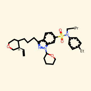 C=C[C@H]1COCCC1CCCc1nn(C2CCCCO2)c2cc(S(=O)(=O)N(CC(C)C)c3ccc(CC)cc3)ccc12